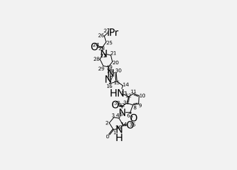 C=C1CCC(N2C(=O)c3cccc(NCc4cnn(C5CCN(C(=O)CCC(C)C)CC5)c4)c3C2=O)C(=O)N1